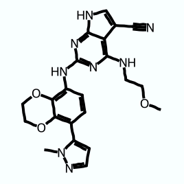 COCCNc1nc(Nc2ccc(-c3ccnn3C)c3c2OCCO3)nc2[nH]cc(C#N)c12